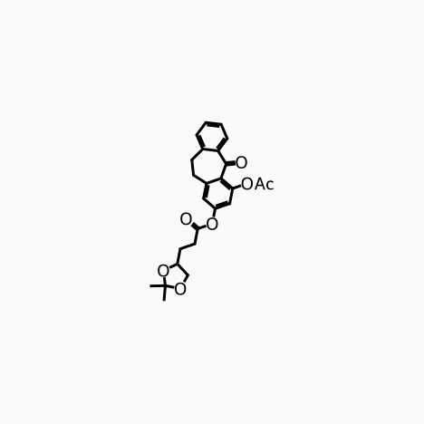 CC(=O)Oc1cc(OC(=O)CCC2COC(C)(C)O2)cc2c1C(=O)c1ccccc1CC2